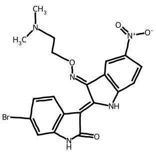 CN(C)CCO/N=C1/C(=C2/C(=O)Nc3cc(Br)ccc32)Nc2ccc([N+](=O)[O-])cc21